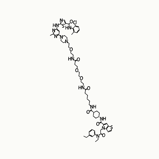 CCc1cccc(N(CC)C(=O)Cn2c(C(=O)N[C@H]3CC[C@H](C(=O)NCCCCCC(=O)NCCOCCOCCC(=O)NCCOCCN4CCN(c5cc(Nc6ncc(C(=O)Nc7c(C)cccc7Cl)s6)nc(C)n5)CC4)CC3)cc3sccc32)c1